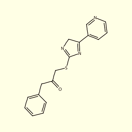 O=C(CSC1=NCC(c2cccnc2)=N1)Cc1ccccc1